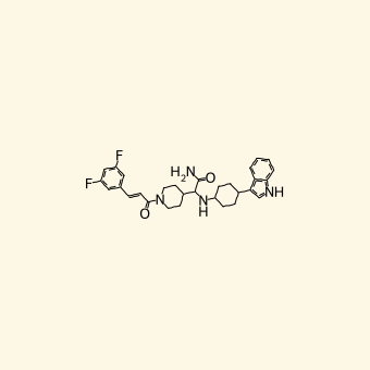 NC(=O)C(NC1CCC(c2c[nH]c3ccccc23)CC1)C1CCN(C(=O)C=Cc2cc(F)cc(F)c2)CC1